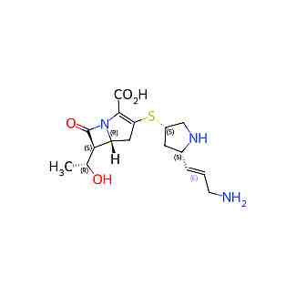 C[C@@H](O)[C@H]1C(=O)N2C(C(=O)O)=C(S[C@@H]3CN[C@H](/C=C/CN)C3)C[C@H]12